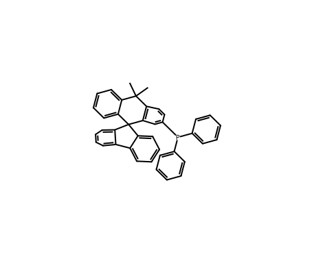 CC1(C)c2ccccc2C2(c3ccccc3-c3ccccc32)c2cc(P(c3ccccc3)c3ccccc3)ccc21